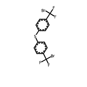 FC(F)(Br)c1ccc(Sc2ccc(C(F)(F)Br)cc2)cc1